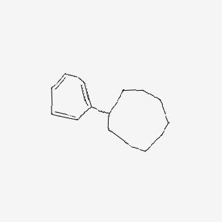 c1ccc(C2CCCCCCCC2)cc1